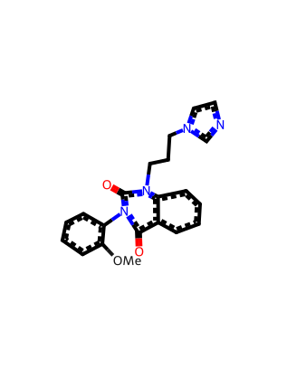 COc1ccccc1-n1c(=O)c2ccccc2n(CCCn2ccnc2)c1=O